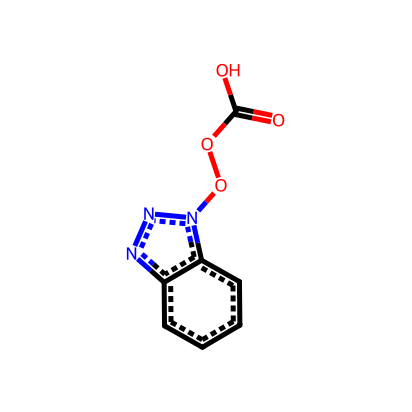 O=C(O)OOn1nnc2ccccc21